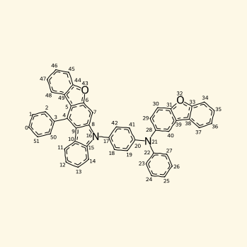 c1ccc(-c2c3c(cc4c2c2ccccc2n4-c2ccc(N(c4ccccc4)c4ccc5oc6ccccc6c5c4)cc2)oc2ccccc23)cc1